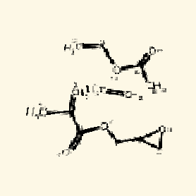 C=C.C=C(C)C(=O)OCC1CO1.C=COC(C)=O